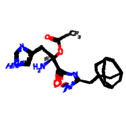 N[C@@](Cc1c[nH]cn1)(OC(=O)C(F)(F)F)c1nc(CC23CC4CC(CC(C4)C2)C3)no1